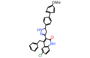 COc1ccc(-c2ccc(C3CC(c4c(Cc5ccccc5)c5cc(Cl)ccc5[nH]c4=O)=NN3)cc2)cc1